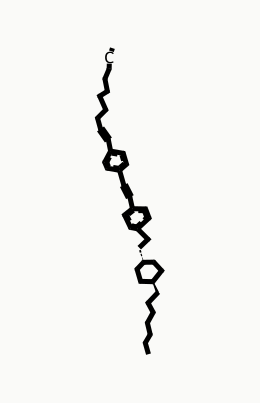 CCCCCCCCC#Cc1ccc(C#Cc2ccc(CC[C@H]3CC[C@H](CCCCCCC)CC3)cc2)cc1